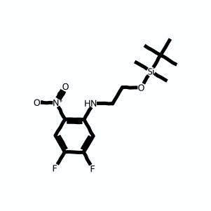 CC(C)(C)[Si](C)(C)OCCNc1cc(F)c(F)cc1[N+](=O)[O-]